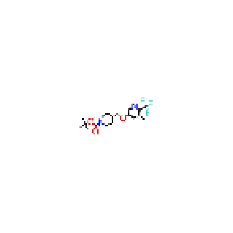 Cc1cc(OCC2CCN(C(=O)OC(C)(C)C)CC2)cnc1C(F)(F)F